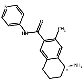 Cc1cc2c(cc1C(=O)Nc1ccncc1)SCC[C@H]2N